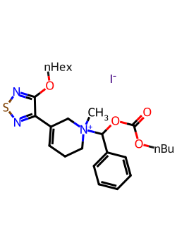 CCCCCCOc1nsnc1C1=CCC[N+](C)(C(OC(=O)OCCCC)c2ccccc2)C1.[I-]